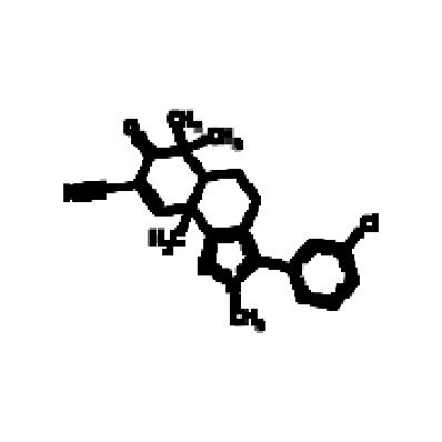 Cn1nc2c(c1-c1cccc(Cl)c1)CCC1C(C)(C)C(=O)C(C#N)=CC21C